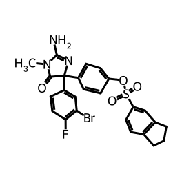 CN1C(=O)C(c2ccc(OS(=O)(=O)c3ccc4c(c3)CCC4)cc2)(c2ccc(F)c(Br)c2)N=C1N